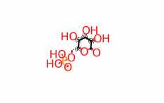 O=C1O[C@H](COP(=O)(O)O)[C@@H](O)[C@H](O)[C@H]1O